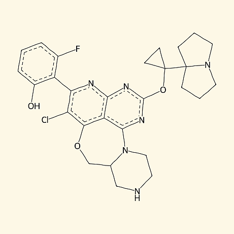 Oc1cccc(F)c1-c1nc2nc(OC3(C45CCCN4CCC5)CC3)nc3c2c(c1Cl)OCC1CNCCN31